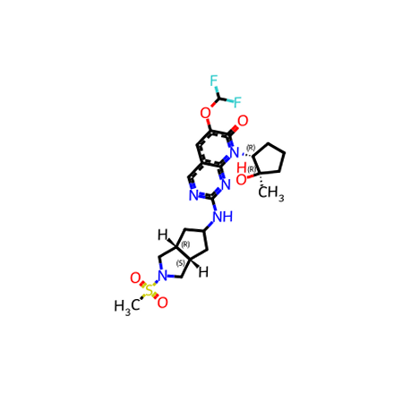 C[C@@]1(O)CCC[C@H]1n1c(=O)c(OC(F)F)cc2cnc(NC3C[C@@H]4CN(S(C)(=O)=O)C[C@@H]4C3)nc21